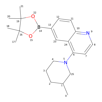 CC1CCCN(c2ccnc3ccc(B4OC(C)(C)C(C)(C)O4)cc23)C1